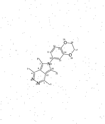 Cc1nnc(C)c2c(C)n(-c3ccc4c(c3)OCCO4)c(C)c12